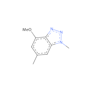 COc1cc(C)cc2c1nnn2C